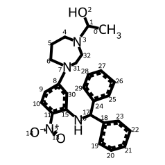 CC(O)N1CCCN(c2ccc([N+](=O)[O-])c(NC(c3ccccc3)c3ccccc3)c2)CC1